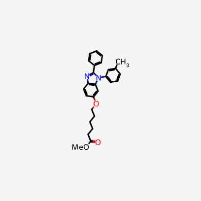 COC(=O)CCCCCOc1ccc2nc(-c3ccccc3)n(-c3cccc(C)c3)c2c1